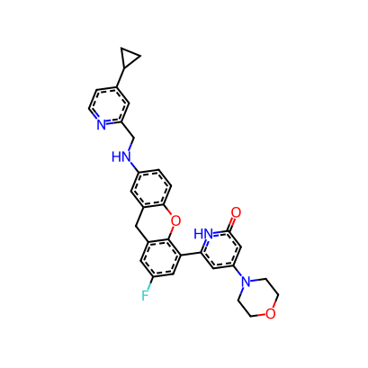 O=c1cc(N2CCOCC2)cc(-c2cc(F)cc3c2Oc2ccc(NCc4cc(C5CC5)ccn4)cc2C3)[nH]1